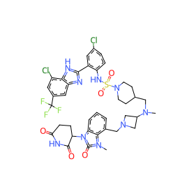 CN(CC1CCN(S(=O)(=O)Nc2ccc(Cl)cc2-c2nc3cc(C(F)(F)F)cc(Cl)c3[nH]2)CC1)C1CN(Cc2cccc3c2n(C)c(=O)n3C2CCC(=O)NC2=O)C1